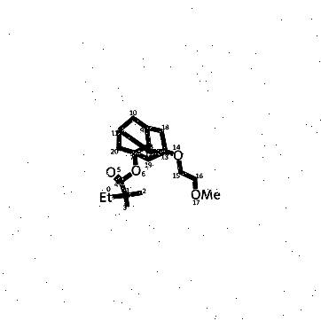 CCC(C)(C)C(=O)OC12CC3CC(CC(OCCOC)(C3)C1)C2